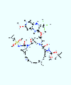 CC[C@@H]1C[C@H](C)CC/C=C\C2C[C@@]2(C(=O)NS(=O)(=O)C2CC2)NC(=O)[C@@H]2C[C@@H](Oc3nc4cc(OC)ncc4nc3C(F)(F)F)CN2C(=O)[C@H]1NC(=O)OC(C)(C)C